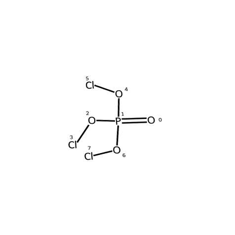 O=P(OCl)(OCl)OCl